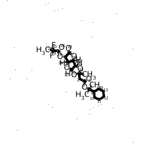 CC1(CC(=O)OC(C)(C)C2CCCCC2)O[C@H]2O[C@H]3[C@H](OC(=O)[C@H]3OC(=O)C(C)(F)F)[C@H]2O1